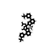 CC(C)CC1(CC(C)C)C2=Cc3c(-c4cccc(C(C)(C)C)c4)cccc3[CH]2[Hf]([CH3])([CH3])[CH]2C1=Cc1c(-c3cccc(C(C)(C)C)c3)cccc12